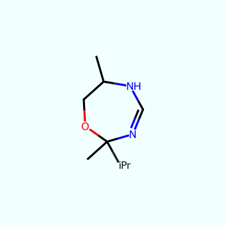 CC1COC(C)(C(C)C)N=CN1